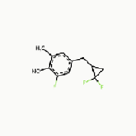 Cc1cc(CC2CC2(F)F)cc(F)c1C#N